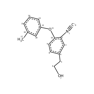 [C-]#[N+]c1cc(CCO)ccc1Oc1cccc(C)c1